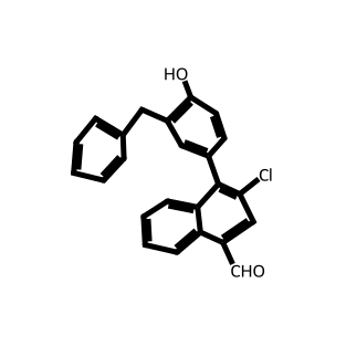 O=Cc1cc(Cl)c(-c2ccc(O)c(Cc3ccccc3)c2)c2ccccc12